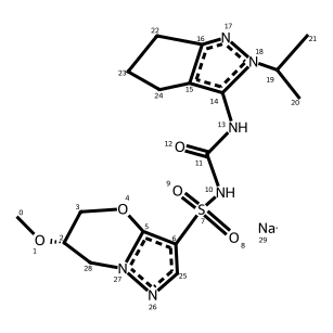 CO[C@@H]1COc2c(S(=O)(=O)NC(=O)Nc3c4c(nn3C(C)C)CCC4)cnn2C1.[Na]